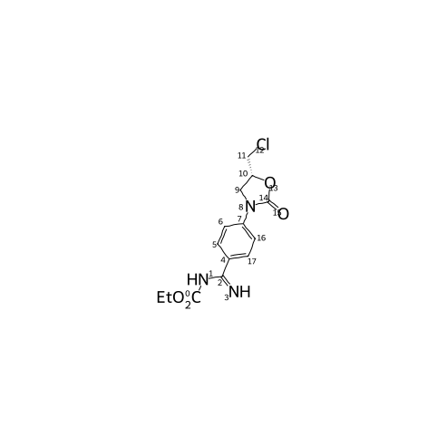 CCOC(=O)NC(=N)c1ccc(N2C[C@H](CCl)OC2=O)cc1